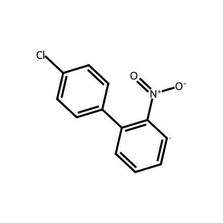 O=[N+]([O-])c1[c]cccc1-c1ccc(Cl)cc1